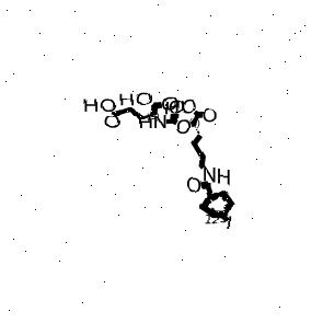 O=C(O)CC[C@H](NC(=O)O[C@@H](CCCCNC(=O)c1ccc([125I])cc1)C(=O)O)C(=O)O